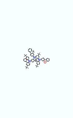 CC(C)(C)c1ccc(N(c2ccc3c(c2)N(c2ccc4c(c2)C(C)(C)c2ccccc2-4)c2cc(C(C)(C)C)cc4c2B3c2cc(C(C)(C)C)ccc2N4c2ccc3c(c2)oc2ccccc23)c2ccc(C(C)(C)C)cc2-c2ccccc2)cc1